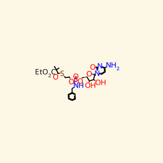 CCOC(=O)C(C)(C)C(=O)SCCOP(=O)(NCc1ccccc1)OC[C@H]1O[C@@H](n2ccc(N)nc2=O)C(O)C1O